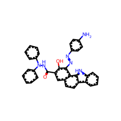 Nc1ccc(N=Nc2c(O)c(C(=O)NN(c3ccccc3)c3ccccc3)cc3ccc4c5ccccc5[nH]c4c23)cc1